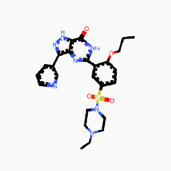 CCCOc1ccc(S(=O)(=O)N2CCN(CC)CC2)cc1-c1nc2c(-c3cccnc3)n[nH]c2c(=O)[nH]1